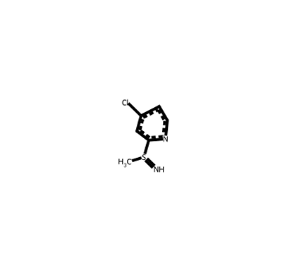 CS(=N)c1cc(Cl)ccn1